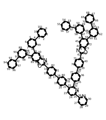 c1ccc(-c2cccc(-c3cc4nc(-c5ccc(-c6ccc(-c7ccc(-c8ccccn8)nc7-c7ccc(-c8ccc(-c9nc%10cc(-c%11cccc(-c%12ccccc%12)c%11)c(-c%11cccc(-c%12ccccc%12)c%11)cc%10o9)cc8)cc7)cc6)cc5)oc4cc3-c3cccc(-c4ccccc4)c3)c2)cc1